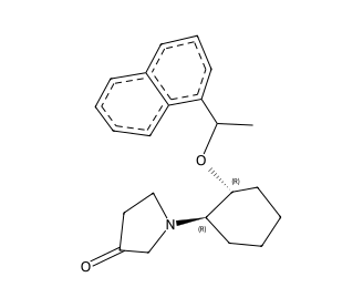 CC(O[C@@H]1CCCC[C@H]1N1CCC(=O)C1)c1cccc2ccccc12